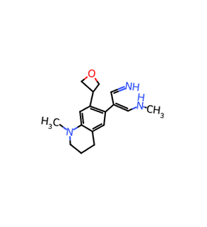 CN/C=C(\C=N)c1cc2c(cc1C1COC1)N(C)CCC2